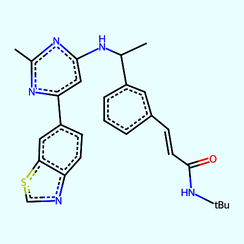 Cc1nc(NC(C)c2cccc(C=CC(=O)NC(C)(C)C)c2)cc(-c2ccc3ncsc3c2)n1